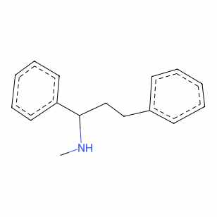 CNC(CCc1ccccc1)c1ccccc1